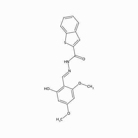 COc1cc(O)c(C=NNC(=O)c2cc3ccccc3s2)c(OC)c1